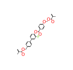 C=C(C)C(=O)OCOc1ccc(C(=O)Oc2ccc(-c3ccc(COC(=O)C(=C)C)cc3)cc2F)cc1